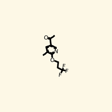 CC(=O)c1cnc(OCCC(F)(F)F)c(C)c1